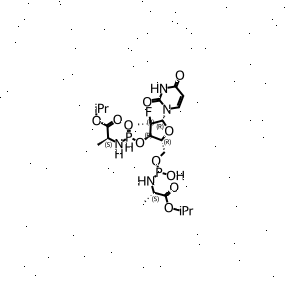 CC(C)OC(=O)[C@H](C)NP(O)OC[C@H]1O[C@@H](n2ccc(=O)[nH]c2=O)[C@](C)(F)[C@@H]1O[PH](=O)N[C@@H](C)C(=O)OC(C)C